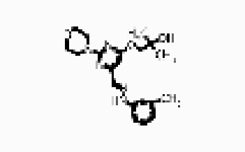 Cc1cccc(NN=Cc2cc(OCC(C)(C)O)nc(N3CCOCC3)n2)c1